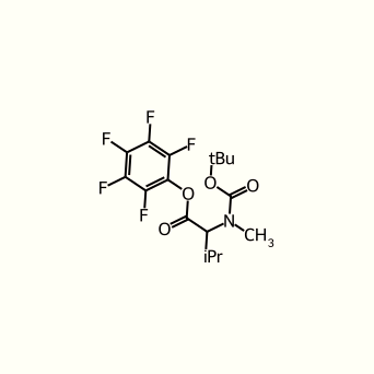 CC(C)C(C(=O)Oc1c(F)c(F)c(F)c(F)c1F)N(C)C(=O)OC(C)(C)C